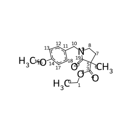 CCOC(=O)C1(C)CCN(Cc2ccc(OC)cc2)C1=O